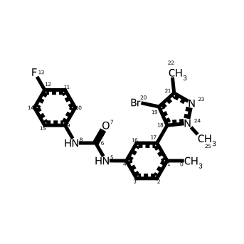 Cc1ccc(NC(=O)Nc2ccc(F)cc2)cc1-c1c(Br)c(C)nn1C